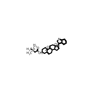 C[C@]12CC[C@H](OC(=O)C[N+](C)(C)C)CC1=CCC1C2CC[C@]2(C)C(C3=c4ccccc4=NC3)=CCC12